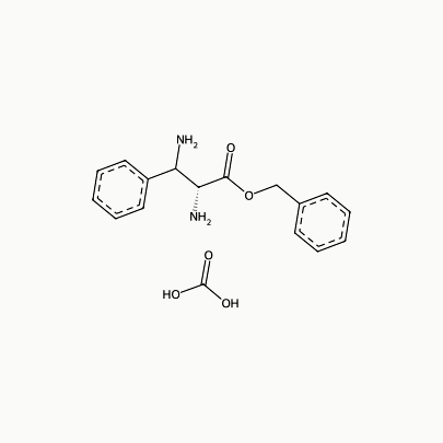 NC(c1ccccc1)[C@@H](N)C(=O)OCc1ccccc1.O=C(O)O